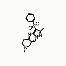 Cc1nn2cc3c(nc2c1S(=O)(=O)c1ccccc1)CCN(C)C3